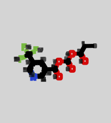 CCC(=O)OC(=O)OC(=O)c1cncc(C(F)(F)F)c1